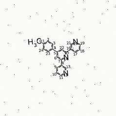 Cc1ccc(-c2cc(-c3cccnc3)nc(-c3cccnc3)c2)cc1